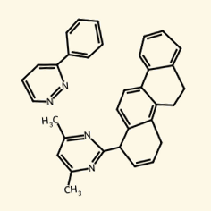 Cc1cc(C)nc(C2C=CCc3c2ccc2c3CCc3ccccc3-2)n1.c1ccc(-c2cccnn2)cc1